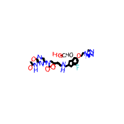 O=C1COc2ncc(N3CC(CCNCC4Cc5cc(OCCn6cnnn6)cc(F)c5C4)OC3=O)nc2N1.O=CO